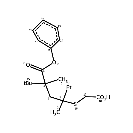 CCC(C)(CC(C)(C(=O)Oc1ccccc1)C(C)(C)C)SCC(=O)O